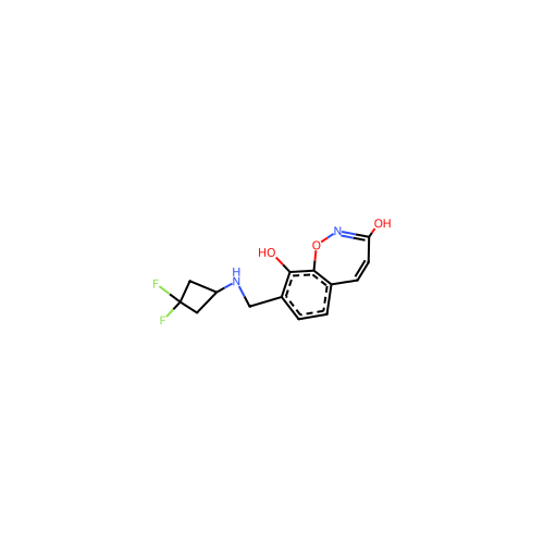 OC1=NOc2c(ccc(CNC3CC(F)(F)C3)c2O)C=C1